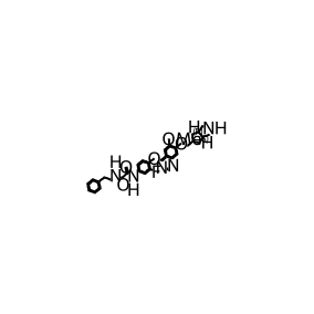 COc1cc2c(Oc3ccc(NC(=O)C(=O)NCCc4ccccc4)cc3F)ncnc2cc1OCC1C[C@H]2CNC[C@H]2C1